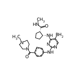 Bc1cnc(Nc2ccc(C(=O)N3CCN(C)CC3)cc2)nc1N[C@@H]1CCC[C@@H]1C(=O)NC